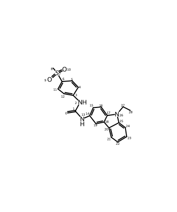 C=C(Nc1ccc(S(C)(=O)=O)cc1)Nc1ccc2c(c1)c1ccccc1n2CC